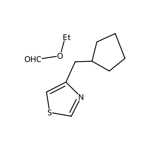 CCOC=O.c1nc(CC2CCCC2)cs1